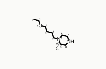 CCOCCCCN1CCNC[C@@H]1C